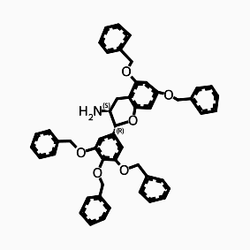 N[C@H]1Cc2c(OCc3ccccc3)cc(OCc3ccccc3)cc2O[C@@H]1c1cc(OCc2ccccc2)c(OCc2ccccc2)c(OCc2ccccc2)c1